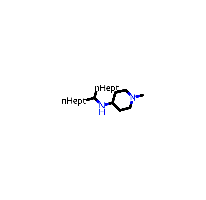 CCCCCCCC(CCCCCCC)NC1CCN(C)CC1